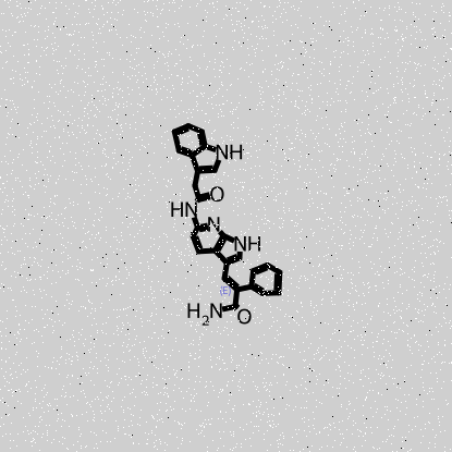 NC(=O)/C(=C/c1c[nH]c2nc(NC(=O)Cc3c[nH]c4ccccc34)ccc12)c1ccccc1